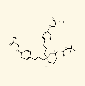 CC(C)(C)OC(=O)NC1CCC[N+](CCCc2ccc(OCC(=O)O)cc2)(CCCc2ccc(OCC(=O)O)cc2)C1.[Cl-]